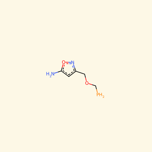 Nc1cc(COCP)no1